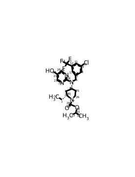 CC[C@@H]1C[C@H](N(Cc2cc(Cl)cc(C(F)(F)F)c2)c2ncc(O)cn2)CCN1C(=O)OC(C)C